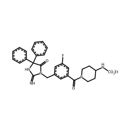 CCOC(=O)NC1CCN(C(=O)c2cc(F)cc(CN3C(=N)NC(c4ccccc4)(c4ccccc4)C3=O)c2)CC1